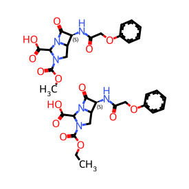 CCOC(=O)N1CC2[C@H](NC(=O)COc3ccccc3)C(=O)N2C1C(=O)O.COC(=O)N1CC2[C@H](NC(=O)COc3ccccc3)C(=O)N2C1C(=O)O